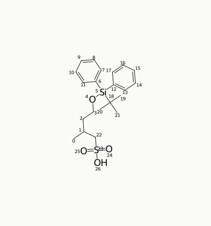 CC(CCO[Si](c1ccccc1)(c1ccccc1)C(C)(C)C)CS(=O)(=O)O